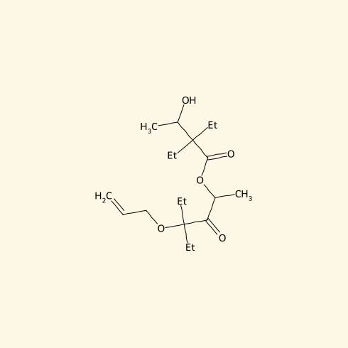 C=CCOC(CC)(CC)C(=O)C(C)OC(=O)C(CC)(CC)C(C)O